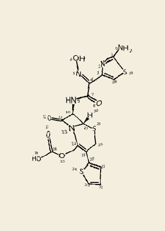 Nc1nc(C(=NO)C(=O)N[C@@H]2C(=O)N3C(OC(=O)O)=C(c4cccs4)CS[C@@H]23)cs1